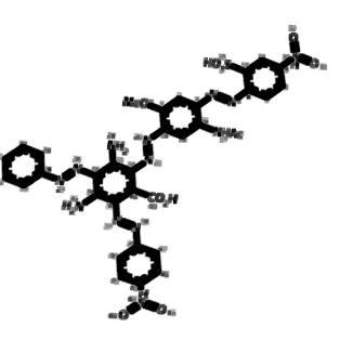 COc1cc(N=Nc2ccc([SH](=O)=O)cc2S(=O)(=O)O)c(NC(C)=O)cc1N=Nc1c(N)c(N=Nc2ccccc2)c(N)c(N=Nc2ccc([SH](=O)=O)cc2)c1C(=O)O